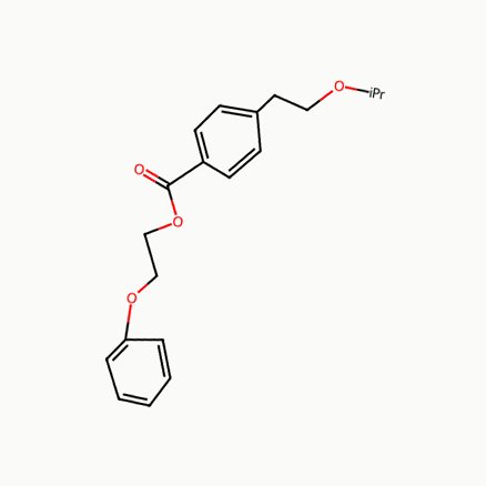 CC(C)OCCc1ccc(C(=O)OCCOc2ccccc2)cc1